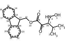 CC(C)[C@H](NO)C(=O)C(=O)OCC1c2ccccc2-c2ccccc21